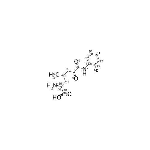 CC(CC(=O)C(=O)Nc1ccccc1F)C[C@H](N)C(=O)O